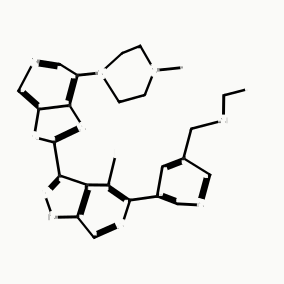 CCNCc1cncc(-c2ncc3[nH]nc(-c4nc5c(N6CCN(C)CC6)cncc5[nH]4)c3c2F)c1